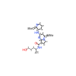 CCC(CCCO)NC(=O)c1ccn2c(NC)cc(Nc3cccnc3OC)nc12